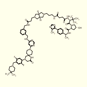 Cc1ncsc1-c1ccc([C@H](C)NC(=O)[C@@H]2C[C@@H](O)CN2C(=O)[C@@H](NC(=O)CCC(=O)NCCCN2C[C@@H]3CN(CCC(=O)NCc4cccc(CNc5cc(N6CCC7(CC6)CN(c6cc(F)c(CN8CCC(C)(C)CC8)cc6F)CC(=O)N7)ncn5)c4)C[C@@H]3C2)C(C)(C)C)cc1